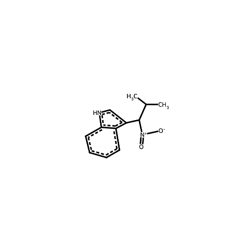 CC(C)C(c1c[nH]c2ccccc12)[N+](=O)[O-]